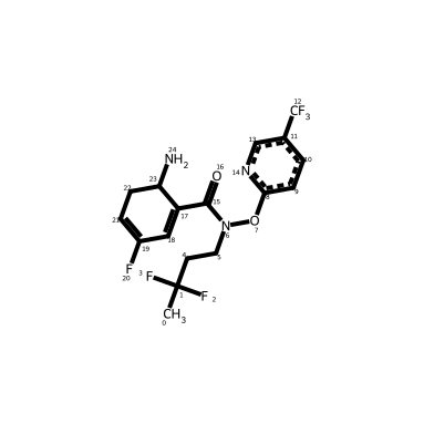 CC(F)(F)CCN(Oc1ccc(C(F)(F)F)cn1)C(=O)C1=CC(F)=CCC1N